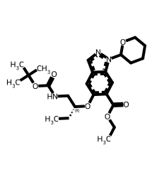 CCOC(=O)c1cc2c(cnn2C2CCCCO2)cc1O[C@H](CC)CNC(=O)OC(C)(C)C